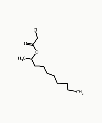 CCCCCCCCC(C)OC(=O)CCl